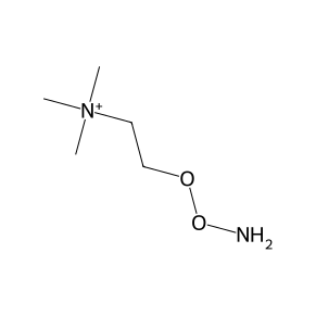 C[N+](C)(C)CCOON